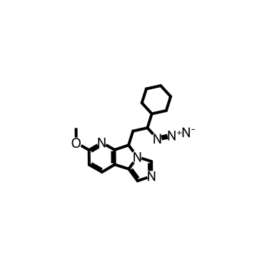 COc1ccc2c(n1)C(CC(N=[N+]=[N-])C1CCCCC1)n1cncc1-2